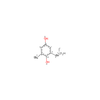 CC(=O)O.CC(C)(C)c1cc(O)cc(C(C)(C)C)c1O